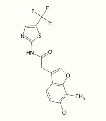 Cc1c(Cl)ccc2c(CC(=O)Nc3ncc(C(F)(F)F)s3)coc12